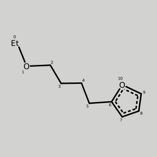 [CH2]COCCCCc1ccco1